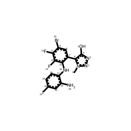 Cn1nnc(O)c1-c1cc(Br)c(F)c(F)c1Nc1ccc(I)cc1N